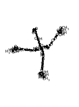 CC(=O)N[C@H]1[C@H]2OC[C@@](COCCOCCOCCOCCn3cc(COCC(COCc4cn(CCOCCOCCOCCOC[C@]56CO[C@@H](O5)[C@H](NC(C)=O)[C@@H](O)[C@H]6O)nn4)(COCc4cn(CCOCCOCCOCCOC[C@]56CO[C@@H](O5)[C@H](NC(C)=O)[C@@H](O)[C@H]6O)nn4)NC(=O)CCCCCNC(=O)CCCCCN4C(=O)C=CC4=O)nn3)(O2)[C@H](O)[C@@H]1O